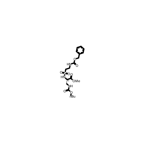 CCCCOC(=O)NC[C@H](NS(=O)(=O)CCNC(=O)OCc1ccccc1)C(=O)OC